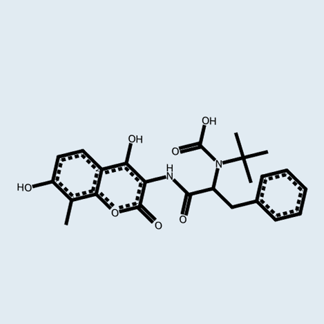 Cc1c(O)ccc2c(O)c(NC(=O)C(Cc3ccccc3)N(C(=O)O)C(C)(C)C)c(=O)oc12